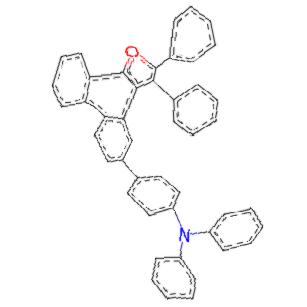 c1ccc(-c2oc3c4ccccc4c4ccc(-c5ccc(N(c6ccccc6)c6ccccc6)cc5)cc4c3c2-c2ccccc2)cc1